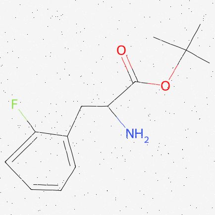 CC(C)(C)OC(=O)C(N)Cc1ccccc1F